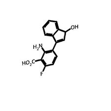 Nc1c(C2=CC(O)c3ccccc32)ccc(F)c1C(=O)O